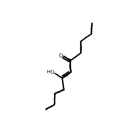 CCCCC(=O)/C=C(\O)CCCC